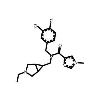 CCN1CC2C(C1)C2CN(Cc1ccc(Cl)c(Cl)c1)C(=O)c1cn(C)cn1